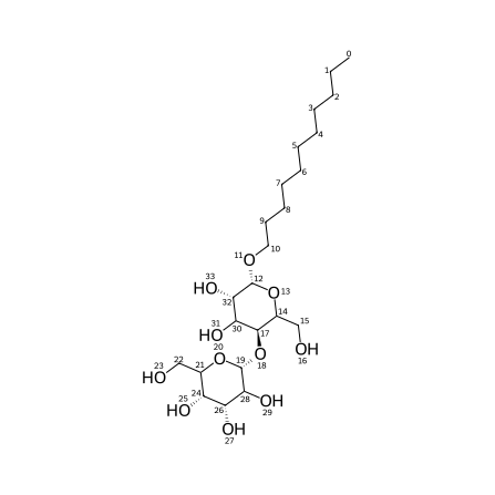 CCCCCCCCCCCO[C@@H]1OC(CO)[C@@H](O[C@H]2OC(CO)[C@@H](O)[C@@H](O)C2O)C(O)[C@@H]1O